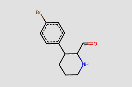 O=CC1NCCCC1c1ccc(Br)cc1